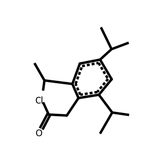 CC(C)c1cc(C(C)C)c(CC(=O)Cl)c(C(C)C)c1